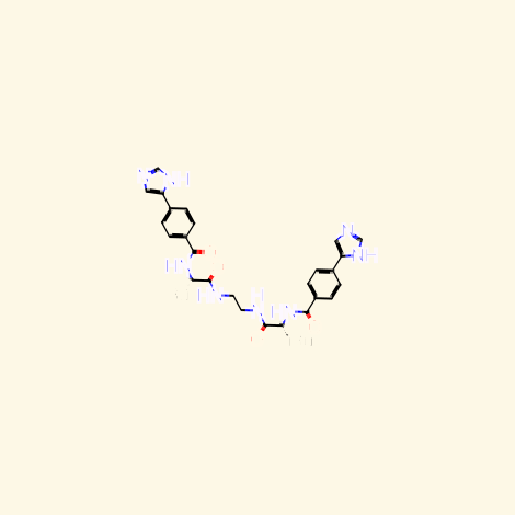 CCC(C)[C@H](NC(=O)c1ccc(-c2cnc[nH]2)cc1)C(=O)NCCNC(=O)[C@@H](NC(=O)c1ccc(-c2cnc[nH]2)cc1)C(C)CC